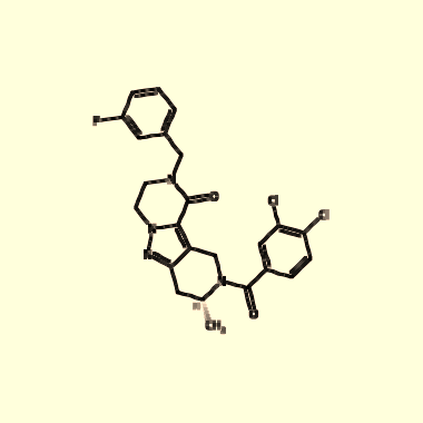 C[C@@H]1Cc2nn3c(c2CN1C(=O)c1ccc(Cl)c(Cl)c1)C(=O)N(Cc1cccc(F)c1)CC3